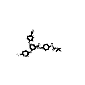 CC(C)(C)OC(=O)NC1CCC(NC(=O)c2cc(Oc3ccc(C#N)cc3)cc(Oc3ccc(N)nc3)c2)CC1